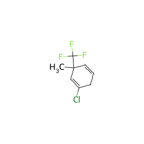 CC1(C(F)(F)F)C=CCC(Cl)=C1